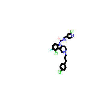 O=C(NCc1ccnc(Cl)c1)n1c2c(c3c(Cl)c(F)ccc31)CN(CC=Cc1ccc(Cl)cc1)CC2